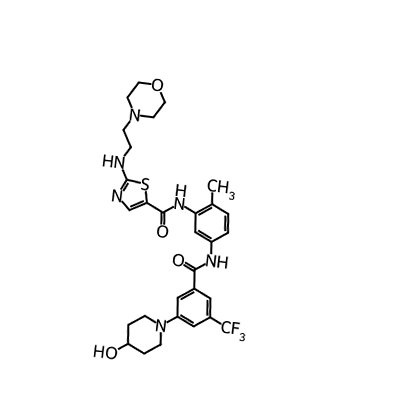 Cc1ccc(NC(=O)c2cc(N3CCC(O)CC3)cc(C(F)(F)F)c2)cc1NC(=O)c1cnc(NCCN2CCOCC2)s1